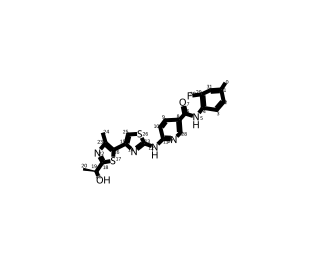 Cc1ccc(NC(=O)c2ccc(Nc3nc(-c4sc([C@H](C)O)nc4C)cs3)nc2)c(F)c1